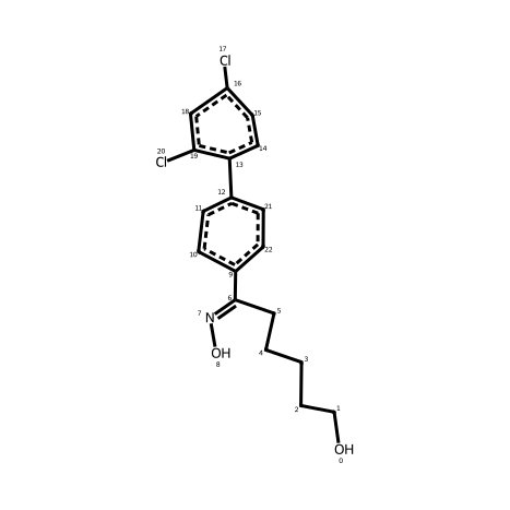 OCCCCC/C(=N\O)c1ccc(-c2ccc(Cl)cc2Cl)cc1